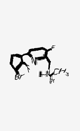 CC(C)[C@@H](C)NCc1nc(-c2cccc(Br)c2F)ccc1F